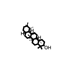 C[C@@H]1[C@H]2C3=CC[C@@H]4[C@@]5(C)CCC(O)C(C)(C)C5CC[C@@]4(C)[C@]3(C)CC[C@H]2CC[C@H]1C